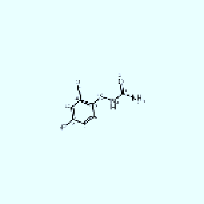 NC(=O)NSc1ccc(F)cc1F